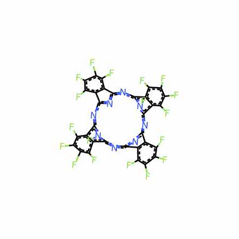 Fc1c(F)c(F)c2c(c1F)-c1nc-2nc2c3c(F)c(F)c(F)c(F)c3c(nc3nc(nc4c5c(F)c(F)c(F)c(F)c5c(n1)n4F)-c1c(F)c(F)c(F)c(F)c1-3)n2F